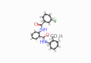 O=C(Nc1ccccc1C(=O)Nc1ccccc1C(=O)O)c1cccc(F)c1